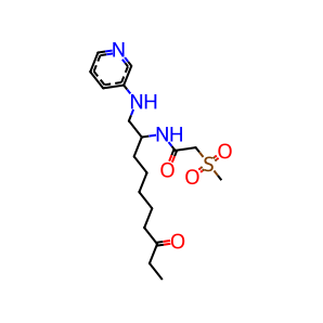 CCC(=O)CCCCCC(CNc1cccnc1)NC(=O)CS(C)(=O)=O